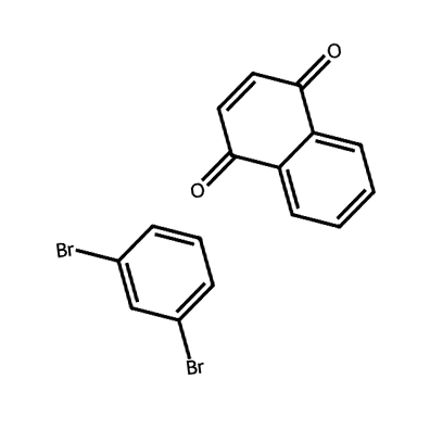 Brc1cccc(Br)c1.O=C1C=CC(=O)c2ccccc21